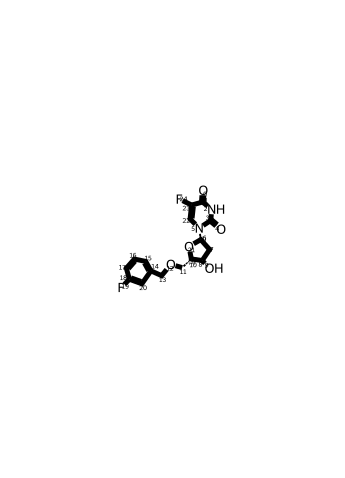 O=c1[nH]c(=O)n([C@@H]2CC(O)[C@H](COCc3cccc(F)c3)O2)cc1F